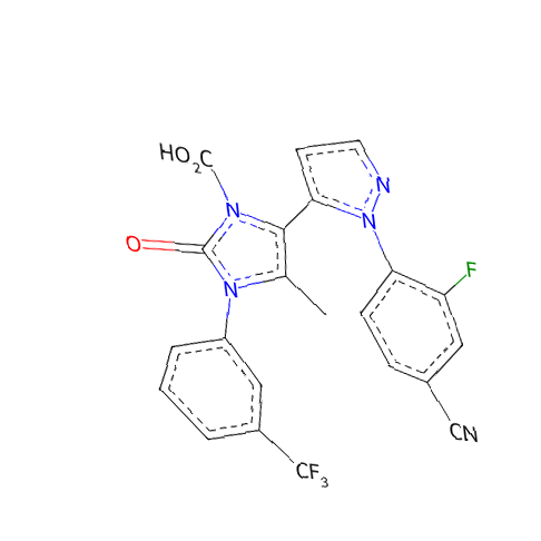 Cc1c(-c2ccnn2-c2ccc(C#N)cc2F)n(C(=O)O)c(=O)n1-c1cccc(C(F)(F)F)c1